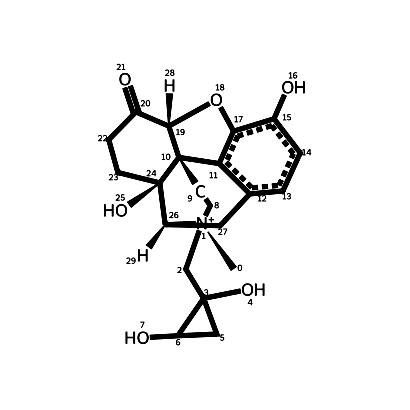 C[N@+]1(CC2(O)CC2O)CC[C@]23c4c5ccc(O)c4O[C@H]2C(=O)CC[C@@]3(O)[C@H]1C5